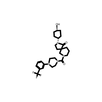 O=C(N1CCN(c2cccc(C(F)(F)F)c2)CC1)N1CCCC2(CCN([C@H]3CC[C@H](O)CC3)C2=O)C1